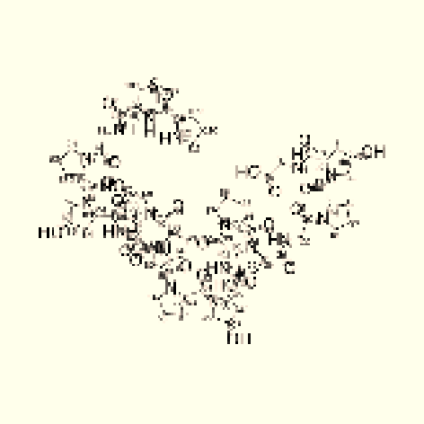 O=C(O)CNC(=O)[C@@H]1C[C@@H](O)CN1C(=O)[C@@H]1CCCN1C(=O)CNC(=O)[C@@H]1C[C@@H](O)CN1C(=O)[C@@H]1CCCN1C(=O)CNC(=O)[C@@H]1C[C@@H](O)CN1C(=O)[C@@H]1CCCN1C(=O)CNC(=O)[C@@H]1C[C@@H](O)CN1C(=O)[C@@H]1CCCN1C(=O)CNC(=O)[C@@H]1C[C@@H](O)CN1C(=O)[C@@H]1CCCN1C(=O)CNC(=O)[C@H](CS)NC(=O)[C@@H]1CCCN1